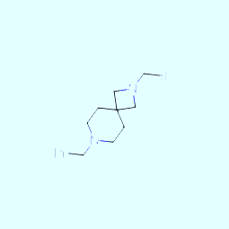 CC(C)CN1CCC2(CC1)CN(CC(C)C)C2